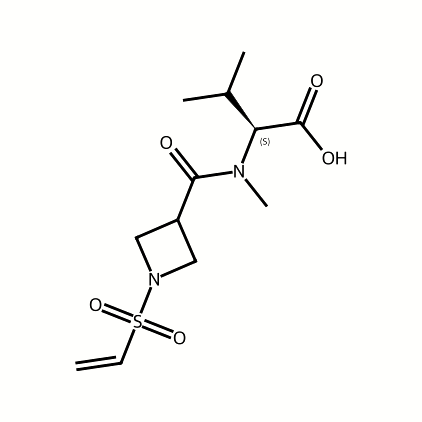 C=CS(=O)(=O)N1CC(C(=O)N(C)[C@H](C(=O)O)C(C)C)C1